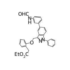 CCOC(=O)Cc1ccccc1OCc1nn(-c2ccccc2)c2ccc(-c3cccc(NC=O)c3)cc12